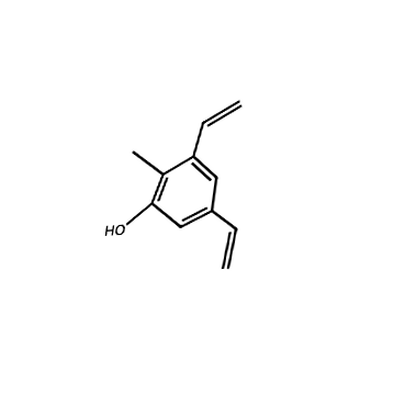 C=Cc1cc(O)c(C)c(C=C)c1